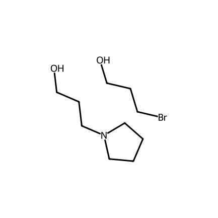 OCCCBr.OCCCN1CCCC1